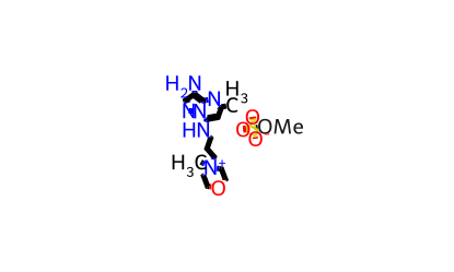 COS(=O)(=O)[O-].Cc1cc(NCCC[N+]2(C)CCOCC2)n2ncc(N)c2n1